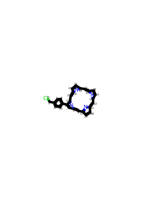 ClCc1ccc(C2=CC3=CC4=NC(=CC5=NC(=CC6=NC(=CC2=N3)C=C6)C=C5)C=C4)cc1